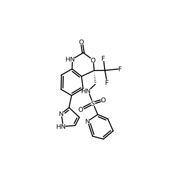 O=C1Nc2ccc(-c3cc[nH]n3)cc2[C@](CNS(=O)(=O)c2ccccn2)(C(F)(F)F)O1